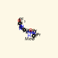 COc1ccc(N2CCCS/C2=N\C(=O)N/C(C)=C(\C)c2ccc(-c3ncn(-c4ccc(OC(F)(F)F)cc4)n3)cc2)c(C(C)C)c1